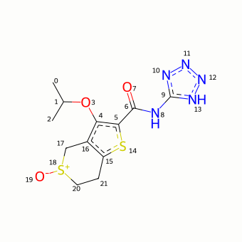 CC(C)Oc1c(C(=O)Nc2nnn[nH]2)sc2c1C[S+]([O-])CC2